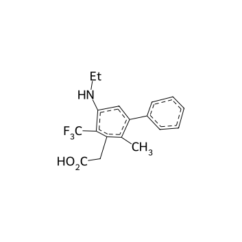 CCNc1cc(-c2ccccc2)c(C)c(CC(=O)O)c1C(F)(F)F